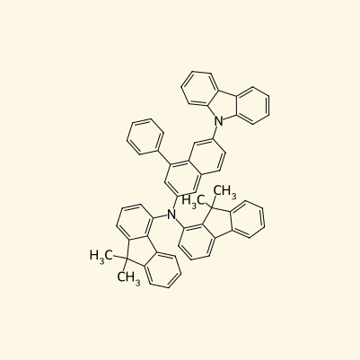 CC1(C)c2ccccc2-c2c(N(c3cc(-c4ccccc4)c4cc(-n5c6ccccc6c6ccccc65)ccc4c3)c3cccc4c3C(C)(C)c3ccccc3-4)cccc21